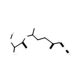 CCC(C)C(OC(C)C)C(=O)NC(CCC(=O)C=[N+]=[N-])C(=O)O